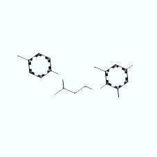 CC(CCOc1c(Cl)cc(O)cc1Cl)Oc1ccc(Cl)cc1